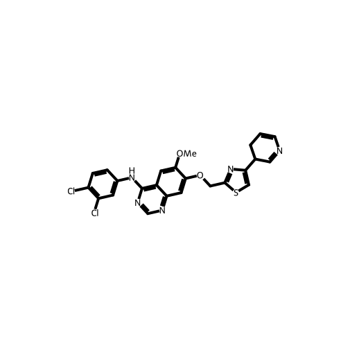 COc1cc2c(Nc3ccc(Cl)c(Cl)c3)ncnc2cc1OCc1nc(C2C=NC=CC2)cs1